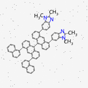 Cc1nc2ccc(-c3cccc4c(-c5c6cccc(-c7cccc8ccccc78)c6cc6c(-c7cccc8ccccc78)cccc56)c5cccc(-c6ccc7nc(C)n(C)c7c6)c5cc34)cc2n1C